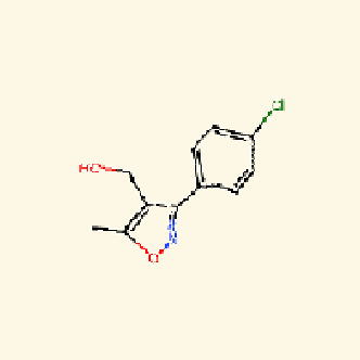 Cc1onc(-c2ccc(Cl)cc2)c1CO